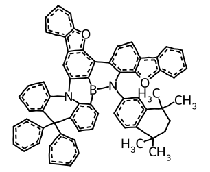 CC1(C)CCC(C)(C)c2cc(N3B4c5cccc6c5N(c5ccccc5C6(c5ccccc5)c5ccccc5)c5cc6c(oc7ccccc76)c(c54)-c4ccc5c(oc6ccccc65)c43)ccc21